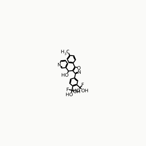 Cc1ccc(-c2onc(-c3ccc(C(O)(O)F)c(C(O)(O)F)c3)c2C(O)c2cccnc2)cc1